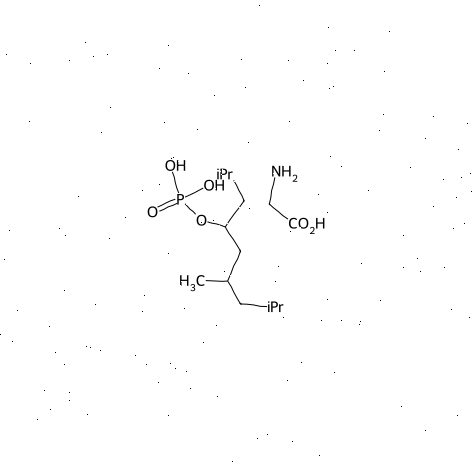 CC(C)CC(C)CC(CC(C)C)OP(=O)(O)O.NCC(=O)O